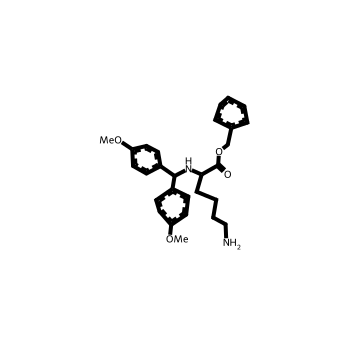 COc1ccc(C(NC(CCCCN)C(=O)OCc2ccccc2)c2ccc(OC)cc2)cc1